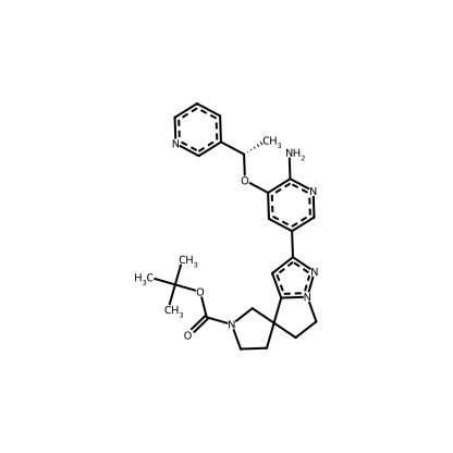 C[C@H](Oc1cc(-c2cc3n(n2)CCC32CCN(C(=O)OC(C)(C)C)C2)cnc1N)c1cccnc1